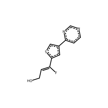 OCC=C(F)c1cc(-c2ccncn2)cs1